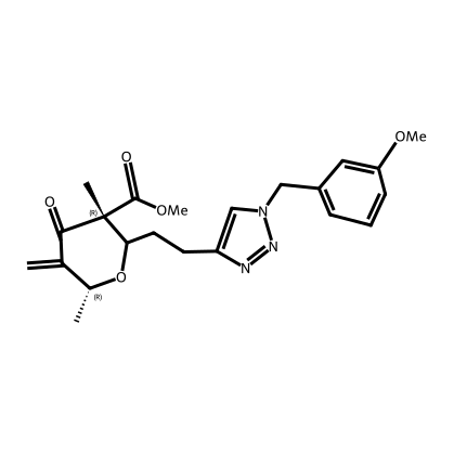 C=C1C(=O)[C@](C)(C(=O)OC)C(CCc2cn(Cc3cccc(OC)c3)nn2)O[C@@H]1C